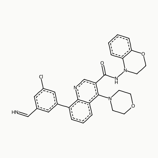 N=Cc1cc(Cl)cc(-c2cccc3c(N4CCOCC4)c(C(=O)NN4CCOc5ccccc54)cnc23)c1